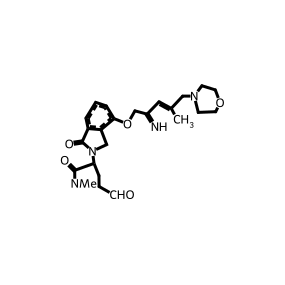 CNC(=O)C(CCC=O)N1Cc2c(OCC(=N)/C=C(\C)CN3CCOCC3)cccc2C1=O